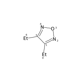 CCc1nonc1CC